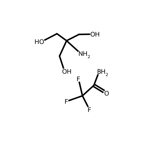 BC(=O)C(F)(F)F.NC(CO)(CO)CO